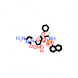 C=C[C@]1(COP(=O)(N[C@@H](C)C(=O)OC2CCCCC2)Oc2cccc3ccccc23)O[C@@H](n2ccc(N)nc2=O)[C@H](O)[C@@H]1O